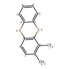 Cc1ccc2c(c1C(F)(F)F)Sc1ccccc1S2